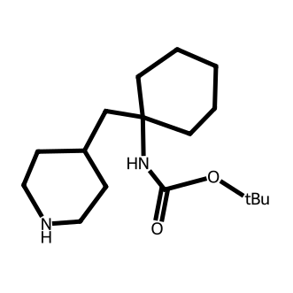 CC(C)(C)OC(=O)NC1(CC2CCNCC2)CCCCC1